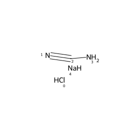 Cl.N#CN.[NaH]